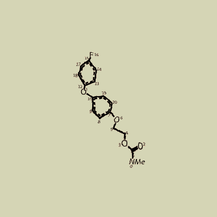 CNC(=O)OCCOc1ccc(Oc2ccc(F)cc2)cc1